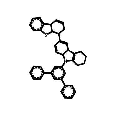 C1=CC2c3ccccc3SC2C(C2=CC3C4=C(CCCC4)N(c4cc(-c5ccccc5)cc(-c5ccccc5)c4)C3C=C2)C1